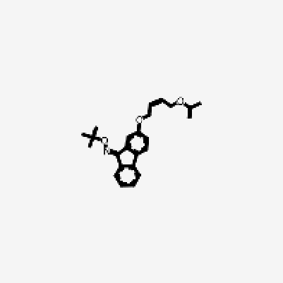 CC(C)OC/C=C\COc1ccc2c(c1)/C(=N\OC(C)(C)C)c1ccccc1-2